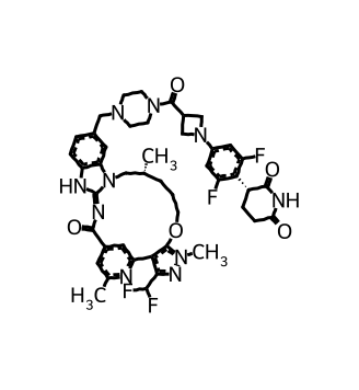 Cc1cc2cc(n1)-c1c(C(F)F)nn(C)c1OCCC[C@@H](C)CN1/C(=N/C2=O)Nc2ccc(CN3CCN(C(=O)C4CN(c5cc(F)c([C@H]6CCC(=O)NC6=O)c(F)c5)C4)CC3)cc21